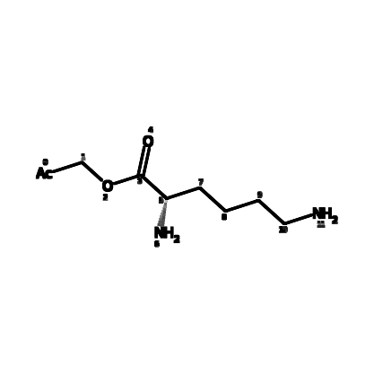 CC(=O)COC(=O)[C@@H](N)CCCCN